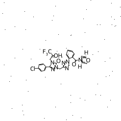 O=C(c1ccccc1-n1cnc(Cn2nc(-c3ccc(Cl)cc3)n(C[C@H](O)C(F)(F)F)c2=O)n1)N1C[C@@H]2C[C@H]1CO2